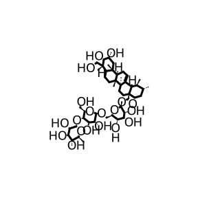 C[C@H]1[C@H](C)CC[C@]2(C(=O)O[C@@H]3O[C@H](CO[C@@H]4O[C@H](CO)[C@@H](O[C@@H]5O[C@@H](C)[C@H](O)[C@@H](O)[C@H]5O)[C@H](O)[C@H]4O)[C@@H](O)[C@H](O)[C@H]3O)CC[C@]3(C)C(=CC[C@@H]4[C@@]5(C)C[C@@H](O)[C@H](O)[C@@](C)(CO)[C@@H]5CC[C@]43C)[C@H]12